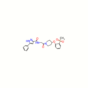 CS(=O)(=O)c1ccccc1OC1CCN(C(=O)CNC(=O)c2cc(-c3ccccc3)[nH]n2)CC1